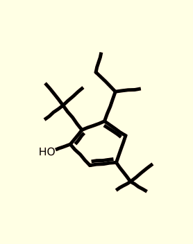 CCC(C)c1cc(C(C)(C)C)cc(O)c1C(C)(C)C